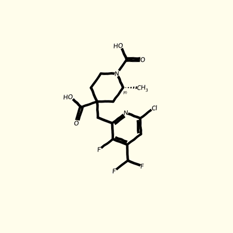 C[C@@H]1CC(Cc2nc(Cl)cc(C(F)F)c2F)(C(=O)O)CCN1C(=O)O